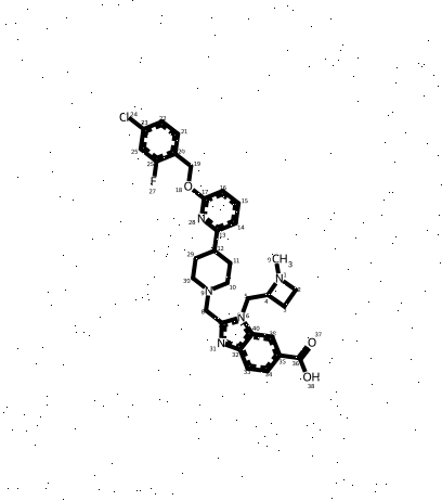 CN1CCC1Cn1c(CN2CCC(c3cccc(OCc4ccc(Cl)cc4F)n3)CC2)nc2ccc(C(=O)O)cc21